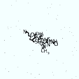 CO/N=C(\C(=O)NC1C(=O)N2C(C(=O)O)=C(CS/C=C/C#N)CS[C@H]12)c1csc(NC=O)n1